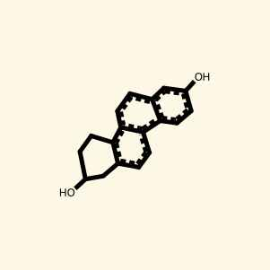 Oc1ccc2c(ccc3c4c(ccc32)CC(O)CC4)c1